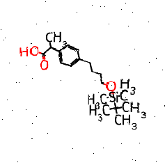 CC(C(=O)O)c1ccc(CCCCO[Si](C)(C)C(C)(C)C)cc1